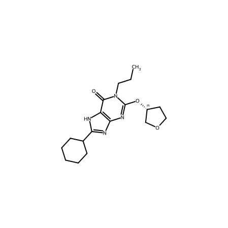 CCCn1c(O[C@@H]2CCOC2)nc2nc(C3CCCCC3)[nH]c2c1=O